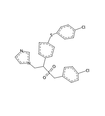 O=S(=O)(Cc1ccc(Cl)cc1)C(Cn1ccnc1)c1ccc(Sc2ccc(Cl)cc2)cc1